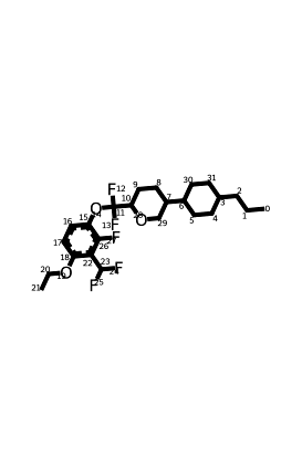 CCCC1CCC(C2CCC(C(F)(F)Oc3ccc(OCC)c(C(F)F)c3F)OC2)CC1